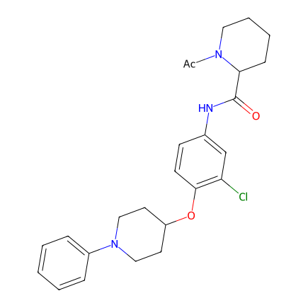 CC(=O)N1CCCCC1C(=O)Nc1ccc(OC2CCN(c3ccccc3)CC2)c(Cl)c1